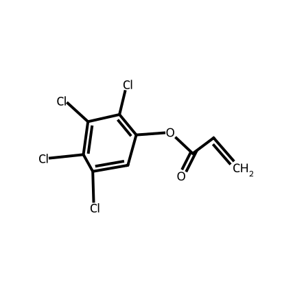 C=CC(=O)Oc1cc(Cl)c(Cl)c(Cl)c1Cl